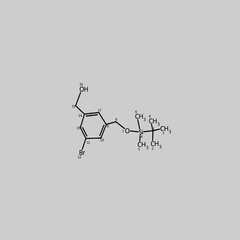 CC(C)(C)[Si](C)(C)OCc1cc(Br)cc(CO)c1